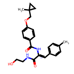 Cc1ccc(/C=C(\NC(=O)c2ccc(OCC3(C)CC3)cc2)C(=O)NCCO)cc1